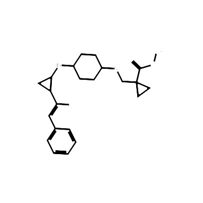 CC/C(=C\c1ccccc1)C1CC1NC1CCC(NCC2(C(=O)OC(C)(C)C)CC2)CC1